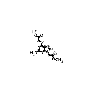 COC(=O)CSc1nc(N)nc2c1ncn2CC(=O)OC